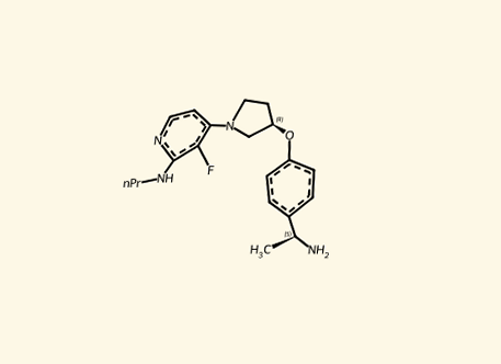 CCCNc1nccc(N2CC[C@@H](Oc3ccc([C@H](C)N)cc3)C2)c1F